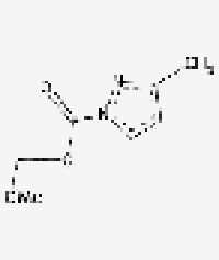 COCOC(=O)n1ccc(C)n1